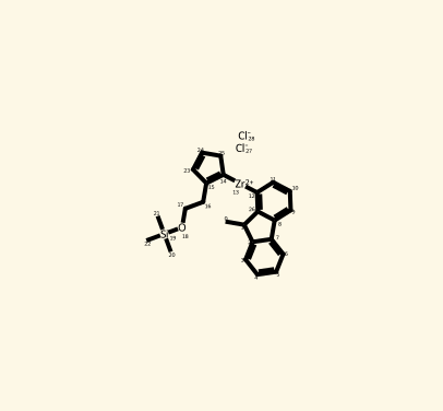 CC1c2ccccc2-c2ccc[c]([Zr+2][C]3=C(CCO[Si](C)(C)C)C=CC3)c21.[Cl-].[Cl-]